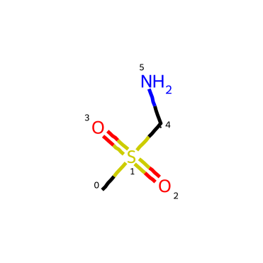 CS(=O)(=O)[CH]N